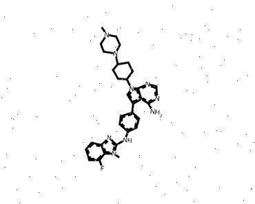 CN1CCN(C2CCC(n3cc(-c4ccc(Nc5nc6cccc(F)c6n5C)cc4)c4c(N)ncnc43)CC2)CC1